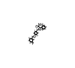 NC(=O)C(NCc1ccc(OCc2cccc(F)c2)cc1)c1ccccc1